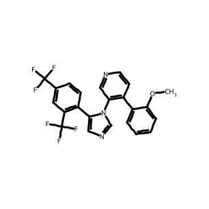 COc1ccccc1-c1ccncc1-n1cncc1-c1ccc(C(F)(F)F)cc1C(F)(F)F